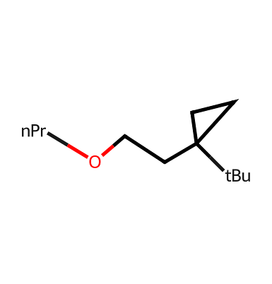 CCCOCCC1(C(C)(C)C)CC1